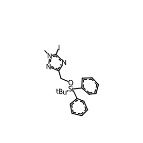 Cn1nc(CO[Si](c2ccccc2)(c2ccccc2)C(C)(C)C)nc1I